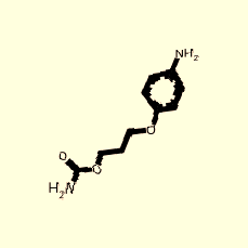 NC(=O)OCCCOc1ccc(N)cc1